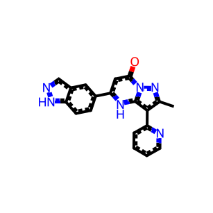 Cc1nn2c(=O)cc(-c3ccc4[nH]ncc4c3)[nH]c2c1-c1ccccn1